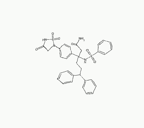 NC(=O)CC(CCC(c1ccccc1)c1ccccc1)(NS(=O)(=O)c1ccccc1)c1ccc(N2CC(=O)NS2(=O)=O)cc1